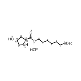 CCCCCCCCCCCCCCCCOC(=O)[C@@H]1C[C@@H](O)CN1.Cl